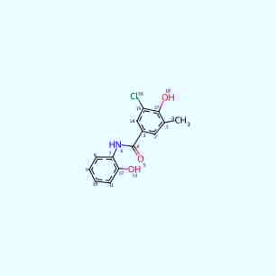 Cc1cc(C(=O)Nc2ccccc2O)cc(Cl)c1O